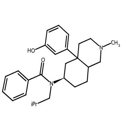 CC(C)CN(C(=O)c1ccccc1)[C@@H]1CCC2CN(C)CCC2(c2cccc(O)c2)C1